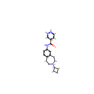 O=C(Nc1ccc2c(c1)CCN(C1CCC1)CC2)c1ccnnc1